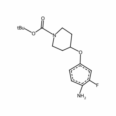 CC(C)(C)OC(=O)N1CCC(Oc2ccc(N)c(F)c2)CC1